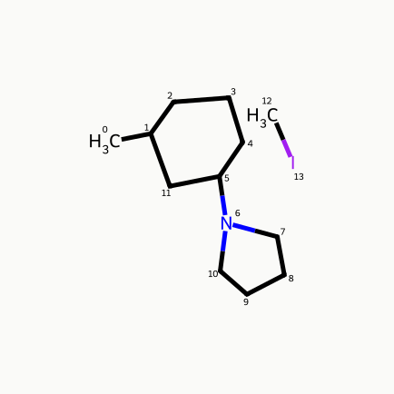 CC1CCCC(N2CCCC2)C1.CI